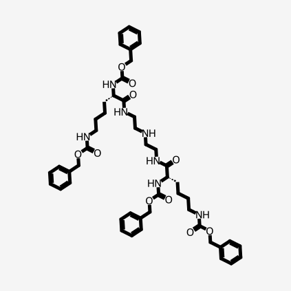 O=C(NCCCC[C@H](NC(=O)OCc1ccccc1)C(=O)NCCNCCNC(=O)[C@H](CCCCNC(=O)OCc1ccccc1)NC(=O)OCc1ccccc1)OCc1ccccc1